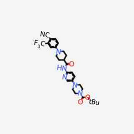 CC(C)(C)OC(=O)N1CCN(c2ccc(NC(=O)C3CCN(c4ccc(C#N)c(C(F)(F)F)c4)CC3)nc2)CC1